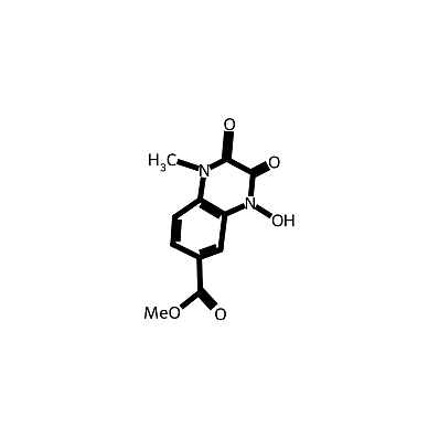 COC(=O)c1ccc2c(c1)n(O)c(=O)c(=O)n2C